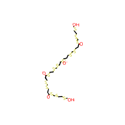 O=C(CCSCSCCC(=O)SCSCCSCO)SCCSCSCC[S+]([O-])CCCSCSCCC(=O)SCSCCSCO